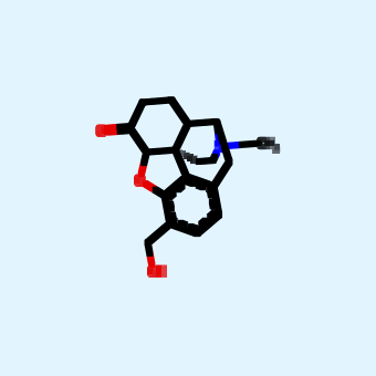 CN1CC[C@]23c4c5ccc(CO)c4OC2C(=O)CCC3C1C5